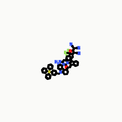 N#CC(C#N)=C1OC(c2ccccc2)(C(F)(F)F)C(/C=C/C2=C(n3ccc(N)nc3=O)C(=C\C=C3/CCCc4c3c3ccccc3n4Cc3ccc(S(c4ccccc4)(c4ccccc4)c4ccccc4)cc3)/c3ccccc32)=C1C#N